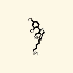 CC(C)CCCCCCn1cnc(-c2ccc(Cl)cc2Cl)c1CN